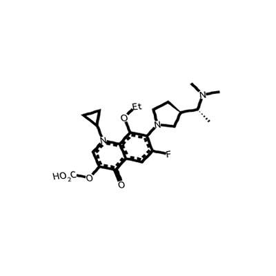 CCOc1c(N2CC[C@@H]([C@@H](C)N(C)C)C2)c(F)cc2c(=O)c(OC(=O)O)cn(C3CC3)c12